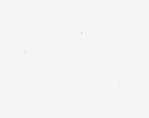 CCCC1CCC(c2cc(F)c(Cc3cc(F)c(F)c(F)c3)c(F)c2)CC1